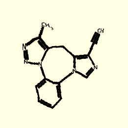 C#Cc1ncn2c1Cc1c(C)nnn1-c1ccccc1-2